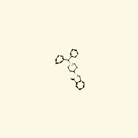 O=C1c2ccccc2CN1C1CCN(C(c2ccccc2)c2ccccc2)CC1